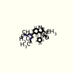 CC/C(C)=C/C(=C\C=C(/C)F)c1ccc2ncc3c(c2c1)n(C1CCCC1)c(=O)n3C